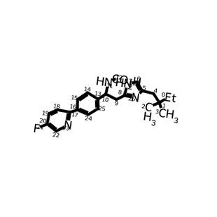 CCC(C)(C)Cc1c[nH]c(CC(NC(=O)O)c2ccc(-c3ccc(F)cn3)cc2)n1